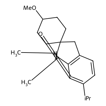 COC1CCC2(CC1)Cc1ccc(C(C)C)cc1C21N=C(C)N(C)C1=O